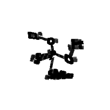 [CH2]SP(=S)(OCC)OCC